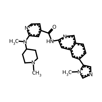 CN1CCC(N(C)c2cc(C(=O)Nc3cc4cc(-c5cncn5C)ccc4cn3)ccn2)CC1